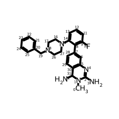 CN1C(N)=Nc2cc(-c3c(F)cccc3N3CCN(Cc4ccccc4)CC3)ccc2C1N